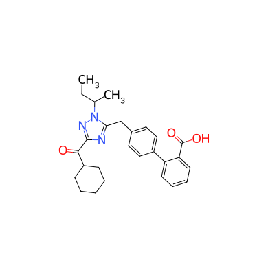 CCC(C)n1nc(C(=O)C2CCCCC2)nc1Cc1ccc(-c2ccccc2C(=O)O)cc1